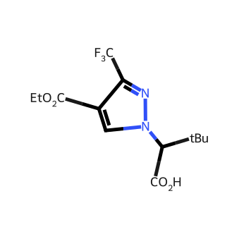 CCOC(=O)c1cn(C(C(=O)O)C(C)(C)C)nc1C(F)(F)F